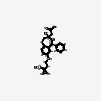 CCC(=O)C[C@@]1(CC)CSc2ccc(OCCC3(S(=O)(=O)O)OO3)cc2[C@H](c2ccccc2)N1